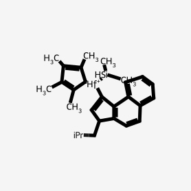 CC1=C(C)[CH]([Hf+]([C]2=CC(CC(C)C)c3ccc4ccccc4c32)[SiH](C)C)C(C)=C1C